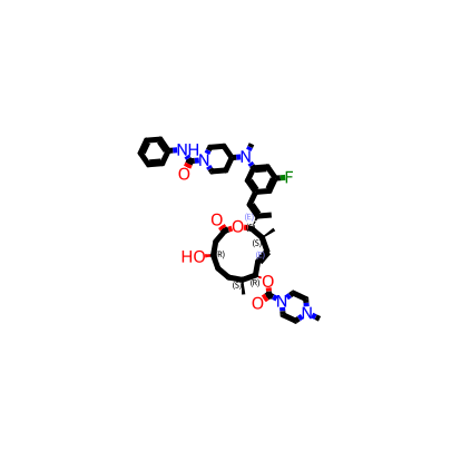 C/C(=C\c1cc(F)cc(N(C)C2CCN(C(=O)Nc3ccccc3)CC2)c1)[C@H]1OC(=O)C[C@H](O)CC[C@H](C)[C@@H](OC(=O)N2CCN(C)CC2)/C=C/[C@@H]1C